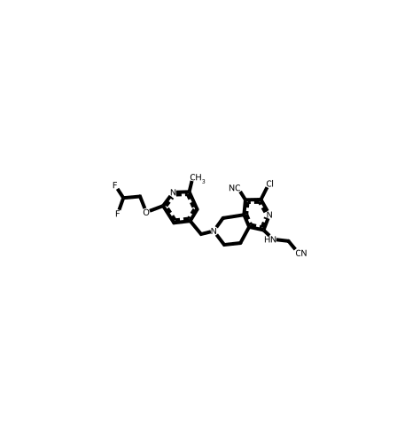 Cc1cc(CN2CCc3c(NCC#N)nc(Cl)c(C#N)c3C2)cc(OCC(F)F)n1